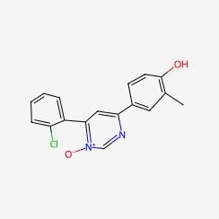 Cc1cc(-c2cc(-c3ccccc3Cl)[n+]([O-])cn2)ccc1O